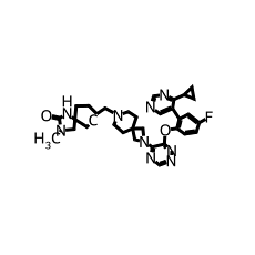 CN1CC2(CCC(CN3CCC4(CC3)CN(c3ncnnc3Oc3ccc(F)cc3-c3cncnc3C3CC3)C4)CC2)NC1=O